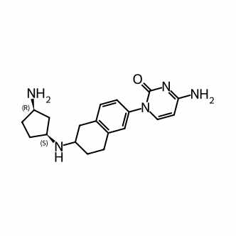 Nc1ccn(-c2ccc3c(c2)CCC(N[C@H]2CC[C@@H](N)C2)C3)c(=O)n1